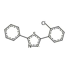 Clc1ccccc1-c1[c]nc(-c2ccccc2)s1